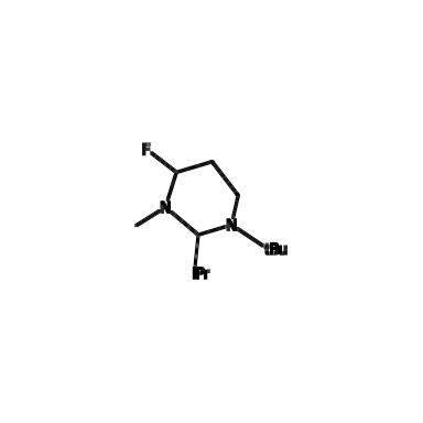 CC(C)C1N(C)C(F)CCN1C(C)(C)C